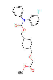 CC(C)(C)OC(=O)COCC1CCC(COC(=O)N(c2ccccc2)c2cccc(F)c2)CC1